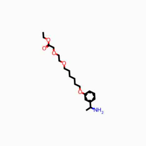 CCOC(=O)COCCOCCCCCCOc1cccc(C(C)N)c1